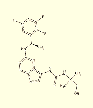 C[C@@H](Nc1ccn2ncc(NC(=S)NC(C)(C)CO)c2n1)c1cc(F)cc(F)c1F